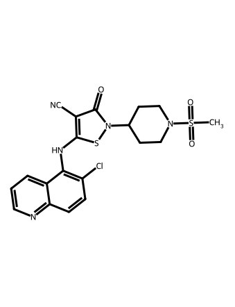 CS(=O)(=O)N1CCC(n2sc(Nc3c(Cl)ccc4ncccc34)c(C#N)c2=O)CC1